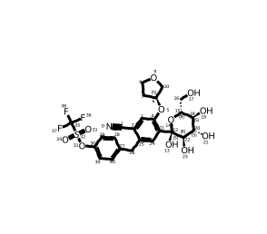 N#Cc1cc(O[C@H]2CCOC2)c([C@]2(O)O[C@H](CO)[C@@H](O)[C@H](O)[C@H]2O)cc1Cc1ccc(OS(=O)(=O)C(F)(F)F)cc1